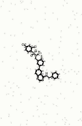 CN(Cc1cc(-c2ccc3ncnc(NCc4ccccc4)c3c2)ccc1F)S(=O)(=O)c1ccc(Cl)cc1Cl